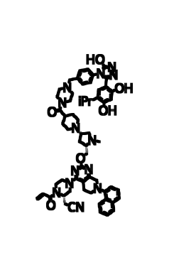 C=CC(=O)N1CCN(c2nc(OC[C@@H]3C[C@H](N4CCC(C(=O)N5CCN(Cc6ccc(-n7c(O)nnc7-c7cc(C(C)C)c(O)cc7O)cc6)CC5)CC4)CN3C)nc3c2CCN(c2cccc4ccccc24)C3)C[C@@H]1CC#N